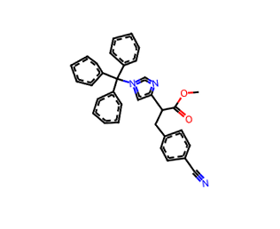 COC(=O)C(Cc1ccc(C#N)cc1)c1cn(C(c2ccccc2)(c2ccccc2)c2ccccc2)cn1